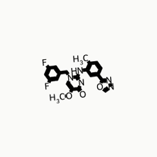 COc1cn(Cc2cc(F)cc(F)c2)c(Nc2cc(-c3nnco3)ccc2C)nc1=O